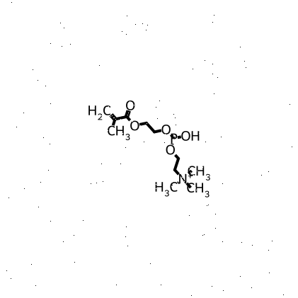 C=C(C)C(=O)OCCOP(O)OCC[N+](C)(C)C